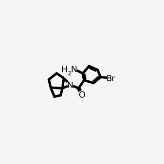 Nc1ccc(Br)cc1C(=O)N1C2CCC3CCC321